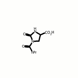 CCCC(=O)N1CC(C(=O)O)NC1=O